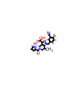 CC1CN(C(=O)c2ccc[nH]2)Cc2c(C(=O)O)nn(Cc3ccc(F)c(C#N)c3)c21